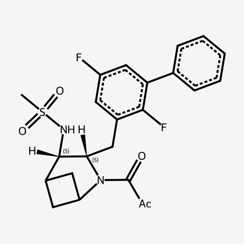 CC(=O)C(=O)N1C2CC(C2)[C@H](NS(C)(=O)=O)[C@@H]1Cc1cc(F)cc(-c2ccccc2)c1F